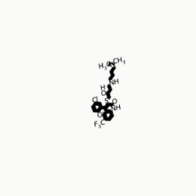 CN(C)CCCCNCCC(O)CSc1c(-c2cc(Cl)ccc2O)c2cc(C(F)(F)F)ccc2[nH]c1=O